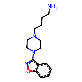 NCCCCN1CCN(c2noc3ccccc23)CC1